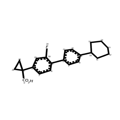 O=C(O)C1(c2ccc(-c3ccc(C4CCCCC4)cc3)c(F)c2)CC1